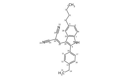 CCCCc1ccc2[nH]c(-c3ccc(CC)cc3)c(C=C(C#N)C#N)c2c1